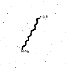 CC(=O)N[CH]CCCCCCCCCCC(=O)O